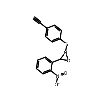 C#Cc1ccc(SN2OC2c2ccccc2[N+](=O)[O-])cc1